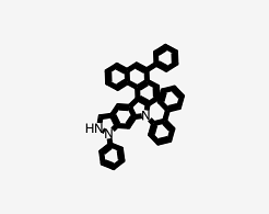 c1ccc(-c2ccccc2-n2c3cc4c(cc3c3c5c(ccc32)c(-c2ccccc2)cc2ccccc25)CNN4c2ccccc2)cc1